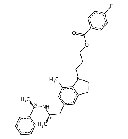 Cc1cc(C[C@@H](C)N[C@H](C)c2ccccc2)cc2c1N(CCCOC(=O)c1ccc(F)cc1)CC2